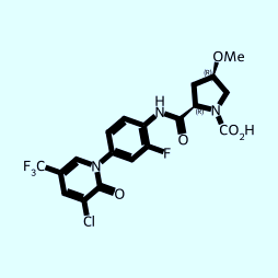 CO[C@@H]1C[C@H](C(=O)Nc2ccc(-n3cc(C(F)(F)F)cc(Cl)c3=O)cc2F)N(C(=O)O)C1